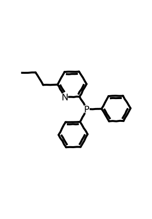 CCCc1cccc(P(c2ccccc2)c2ccccc2)n1